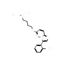 CSc1ccccc1-c1cnc2ccc(OCCCCN(C)C)nn12